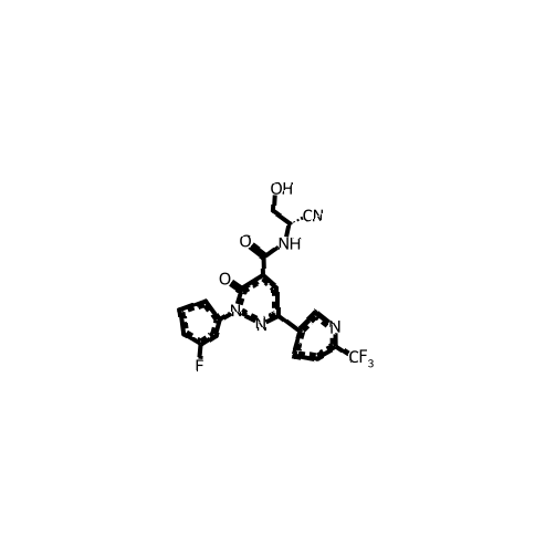 N#C[C@@H](CO)NC(=O)c1cc(-c2ccc(C(F)(F)F)nc2)nn(-c2cccc(F)c2)c1=O